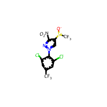 O=[N+]([O-])c1nn(-c2c(Cl)cc(C(F)(F)F)cc2Cl)cc1[S+]([O-])C(F)(F)F